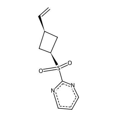 C=C[C@H]1C[C@@H](S(=O)(=O)c2ncccn2)C1